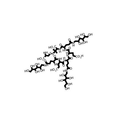 CC(C)(SSCC(N)C(=O)O)C(NC(=O)C(CCC(=O)NCC(O)C(O)C(O)C(O)CO)NC(=O)C(CCC(=O)O)NC(=O)C(CCC(=O)NCC(O)C(O)C(O)C(O)CO)NC(=O)C(CCC(=O)O)NC(=O)C(N)CCC(=O)NCC(O)C(O)C(O)C(O)CO)C(=O)O